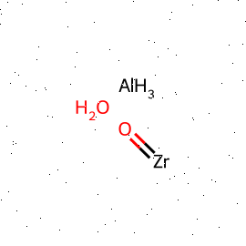 O.[AlH3].[O]=[Zr]